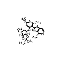 CSc1nc(C)c(-c2nc3c(C)nccc3s2)c(NC2C[C@H](CO)[C@H]3OC(C)(C)O[C@@H]23)n1